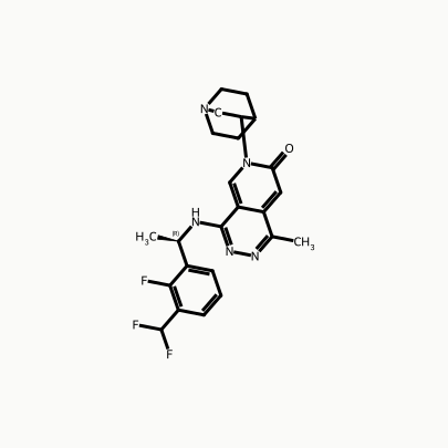 Cc1nnc(N[C@H](C)c2cccc(C(F)F)c2F)c2cn(C3CN4CCC3CC4)c(=O)cc12